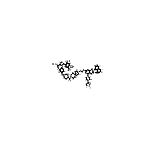 C=CC(=O)N1CCN(c2nc(OCCN3CCC4(CC3)CCN(C(=O)C3CCN(Cc5ccc(-n6c(C(N)=O)nnc6-c6cc(C(C)C)c(O)cc6O)cc5)CC3)CC4)nc3c2CCN(c2cccc4cccc(Cl)c24)C3)CC1